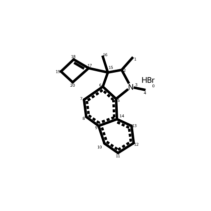 Br.CC1N(C)c2c(ccc3ccccc23)C1(C)C1=CCC1